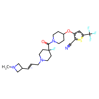 CN1CC(/C=C/CN2CCC(F)(C(=O)N3CCC(Oc4cc(C(F)(F)F)sc4C#N)CC3)CC2)C1